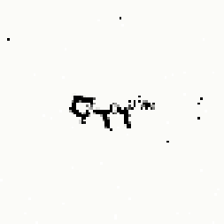 COC(C)OC(C)N1CCCC1